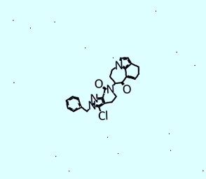 O=C1C2=CCCc3ccn(c32)CCC1N1CCc2c(nn(Cc3ccccc3)c2Cl)C1=O